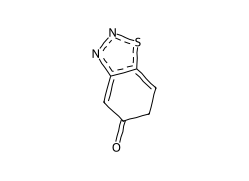 O=C1C=c2nnsc2=CC1